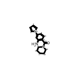 Nc1cc(-n2cccc2)ccc1C(=O)N1CCCCC1